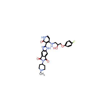 CN1CCC(N2C(=O)c3cc4nc(-c5c(NCC(O)COc6ccc(F)cc6)cc[nH]c5=O)[nH]c4cc3C2=O)CC1